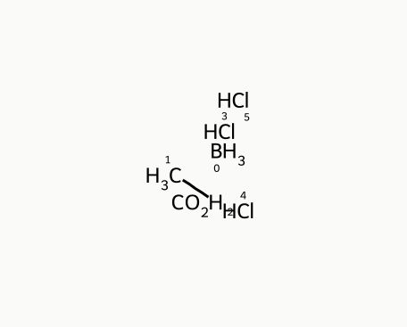 B.CC(=O)O.Cl.Cl.Cl